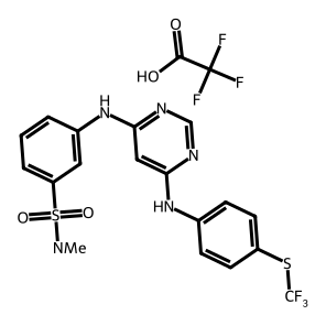 CNS(=O)(=O)c1cccc(Nc2cc(Nc3ccc(SC(F)(F)F)cc3)ncn2)c1.O=C(O)C(F)(F)F